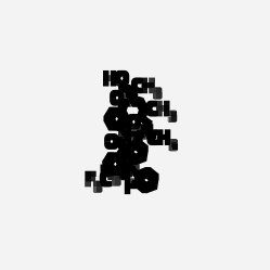 C[C@@H]1CN([C@@H](C)CO)C(=O)c2cccc(NC(=O)Cc3ccc(C(F)(F)F)cc3)c2O[C@@H]1CN(C)Cc1ccc(N(C)c2ccccc2F)cc1